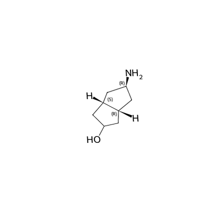 N[C@@H]1C[C@H]2CC(O)C[C@H]2C1